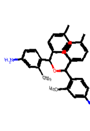 COc1cc(N)ccc1C(OC(c1ccc(C)cc1)c1ccc(N)cc1OC)c1ccc(C)cc1